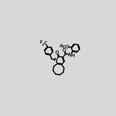 CC(=O)Oc1ccccc1NC(=O)c1cc2c(n(Cc3ccc(C(F)(F)F)cc3)c1=O)CCCCCC2